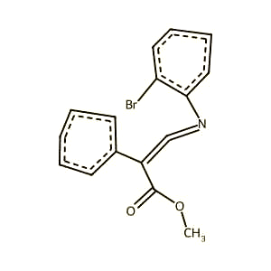 COC(=O)C(=C=Nc1ccccc1Br)c1ccccc1